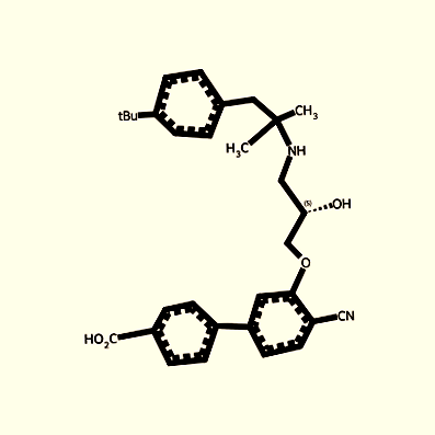 CC(C)(Cc1ccc(C(C)(C)C)cc1)NC[C@H](O)COc1cc(-c2ccc(C(=O)O)cc2)ccc1C#N